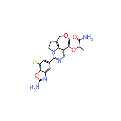 CC(OC1=COCC2=C3C1=CN=C(c1cc(F)c4oc(N)nc4c1)N3CC2)C(N)=O